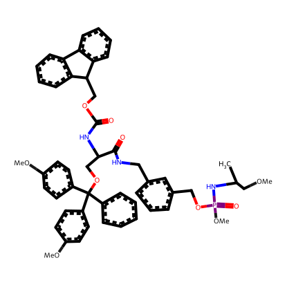 COCC(C)NP(=O)(OC)OCc1cccc(CNC(=O)C(COC(c2ccccc2)(c2ccc(OC)cc2)c2ccc(OC)cc2)NC(=O)OCC2c3ccccc3-c3ccccc32)c1